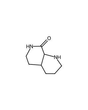 O=C1NCCC2CCCNC12